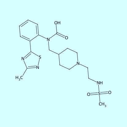 Cc1nsc(-c2ccccc2N(CC2CCN(CCNS(C)(=O)=O)CC2)C(=O)O)n1